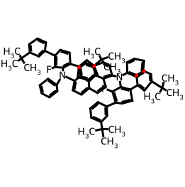 CC(C)(C)c1cccc(-c2ccc(-c3cccc(C(C)(C)C)c3)c(N(c3ccccc3)c3ccc4ccc5c(N(c6ccccc6)c6c(-c7cccc(C(C)(C)C)c7)ccc(-c7cccc(C(C)(C)C)c7)c6F)ccc6ccc3c4c65)c2F)c1